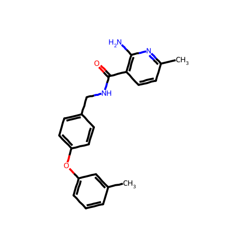 Cc1cccc(Oc2ccc(CNC(=O)c3ccc(C)nc3N)cc2)c1